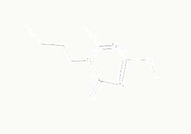 CCCCn1c(C)nc(SC)nc1=O